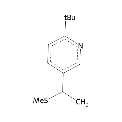 CSC(C)c1ccc(C(C)(C)C)nc1